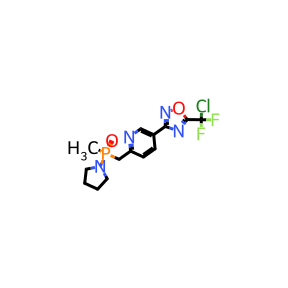 CP(=O)(Cc1ccc(-c2noc(C(F)(F)Cl)n2)cn1)N1CCCC1